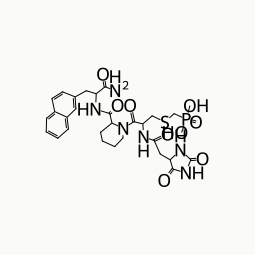 NC(=O)C(Cc1ccc2ccccc2c1)NC(=O)C1CCCCN1C(=O)C(CSCP(=O)(O)O)NC(=O)CC1NC(=O)NC1=O